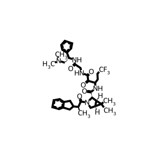 C[C@H](C(=O)N1C[C@H]2[C@@H]([C@H]1C(=O)NC(CCC(F)(F)F)C(=O)C(=O)NCC(=O)N[C@H](CN(C)C)c1ccccc1)C2(C)C)C1Cc2ccccc2C1